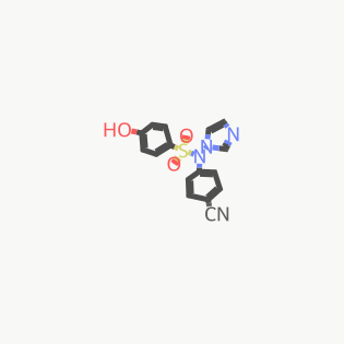 N#Cc1ccc(N(n2ccnc2)S(=O)(=O)c2ccc(O)cc2)cc1